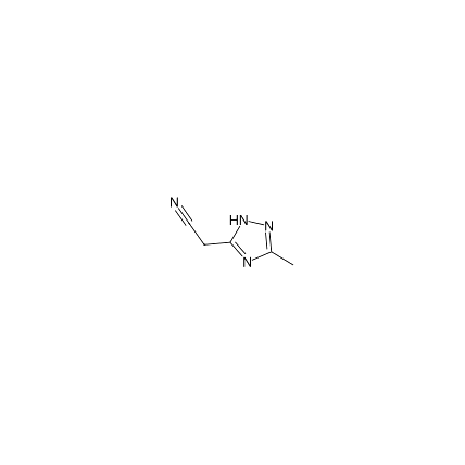 Cc1n[nH]c(CC#N)n1